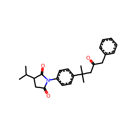 CC(C)C1CC(=O)N(c2ccc(C(C)(C)CC(=O)Cc3ccccc3)cc2)C1=O